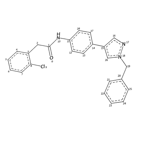 O=C(Cc1ccccc1Cl)Nc1ccc(-c2cnn(Cc3ccccc3)c2)cc1